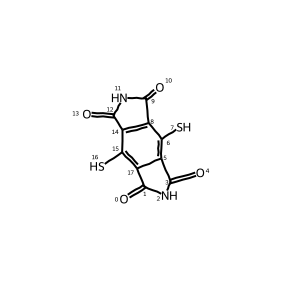 O=c1[nH]c(=O)c2c(S)c3c(=O)[nH]c(=O)c3c(S)c12